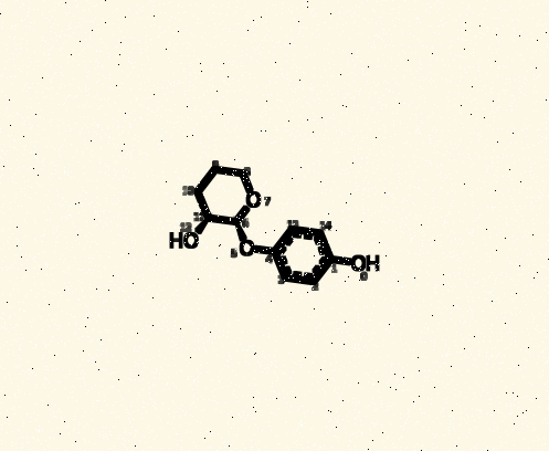 Oc1ccc(O[C@@H]2OCCC[C@@H]2O)cc1